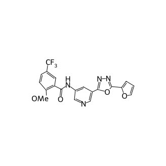 COc1ccc(C(F)(F)F)cc1C(=O)Nc1cncc(-c2nnc(-c3ccco3)o2)c1